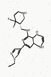 CCn1cc(C2=CC3NC=CNC3C(NC[C@H]3CNCCC3(F)F)=N2)cn1